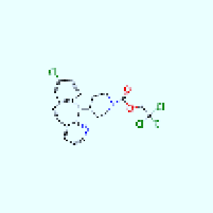 O=C(OCC(Cl)(Cl)Cl)N1CCC(=C2c3ccc(Cl)cc3C=Cc3cccnc32)CC1